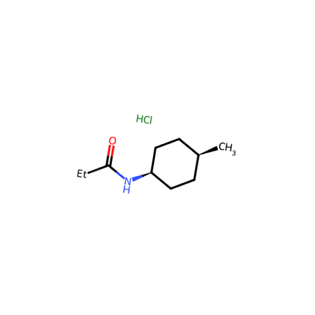 CCC(=O)N[C@H]1CC[C@@H](C)CC1.Cl